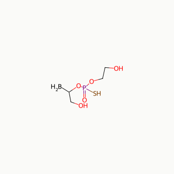 BC(CO)OP(=O)(S)OCCO